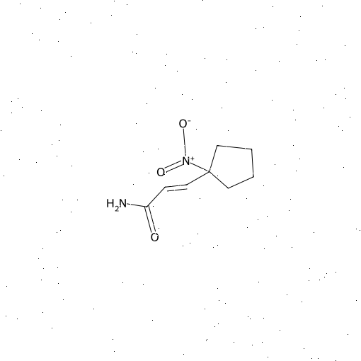 NC(=O)C=CC1([N+](=O)[O-])CCCC1